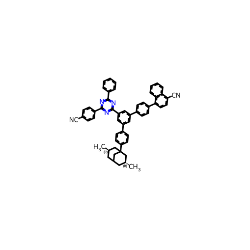 C[C@@H]1CC2C[C@@H](C)CC(c3ccc(-c4cc(-c5ccc(-c6ccc(C#N)c7ccccc67)cc5)cc(-c5nc(-c6ccccc6)nc(-c6ccc(C#N)cc6)n5)c4)cc3)(C2)C1